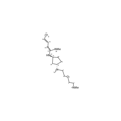 CNCCOCCN(C)[C@H]1CC[C@H](N/C(=N/C=C/C(F)(F)F)NC)C1